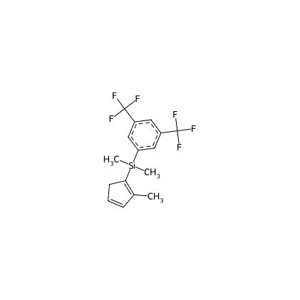 CC1=C([Si](C)(C)c2cc(C(F)(F)F)cc(C(F)(F)F)c2)CC=C1